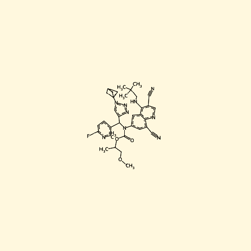 COCC(C)OC(=O)N(c1cc(C#N)c2ncc(C#N)c(NCC(C)(C)C)c2c1)C(c1cn(C23CC(C2)C3)nn1)c1ccc(F)nc1C